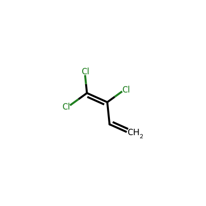 C=CC(Cl)=C(Cl)Cl